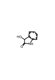 O=C1Nc2ccccc2[C]1O